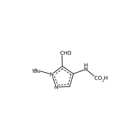 CC(C)(C)n1ncc(NC(=O)O)c1C=O